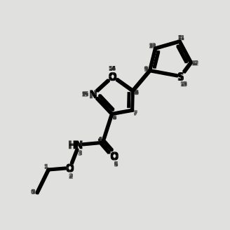 CCONC(=O)c1cc(-c2cccs2)on1